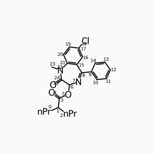 CCCC(CCC)C(=O)OC1N=C(c2ccccc2)c2cc(Cl)ccc2N(C)C1=O